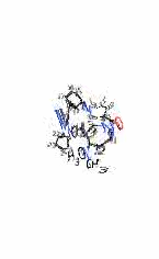 CN(C)C1CCN(C(=O)[C@@H]2CCCN(c3cccc(-c4nc5ccccc5n4C)c3)C2)CC1